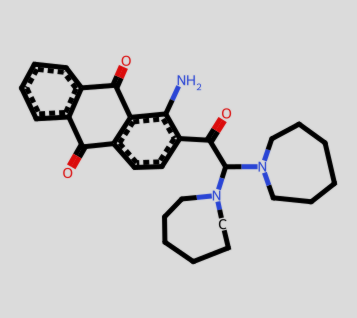 Nc1c(C(=O)C(N2CCCCCC2)N2CCCCCC2)ccc2c1C(=O)c1ccccc1C2=O